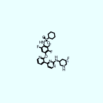 O=S(=O)(Nc1c(F)cc(Oc2ncccc2-c2ccnc(NC3CNC[C@@H](F)C3)n2)c(F)c1F)C1CCCCC1